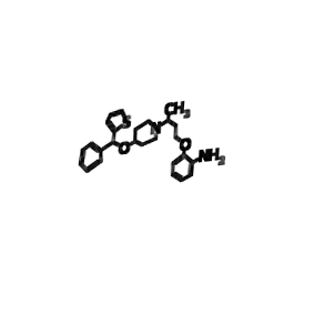 CC(CCOc1ccccc1N)N1CCC(OC(c2ccccc2)c2cccs2)CC1